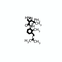 CC(C)=C=Cc1cccc(NC(=O)c2c[nH]nc2C(C)(P)P)c1C